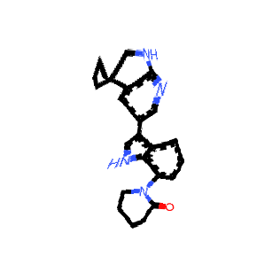 O=C1CCCCN1c1cccc2c(-c3cnc4c(c3)C3(CC3)CN4)c[nH]c12